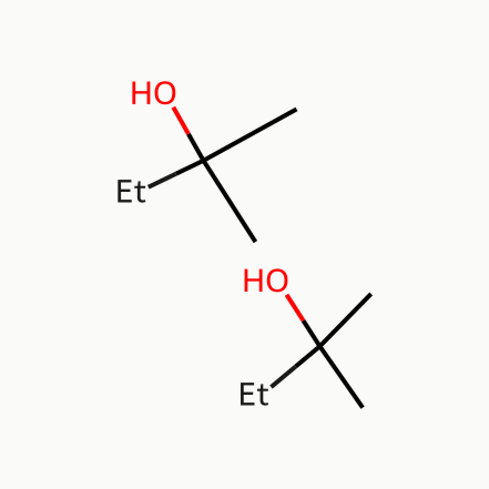 CCC(C)(C)O.CCC(C)(C)O